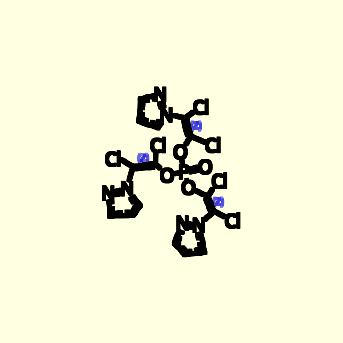 O=P(O/C(Cl)=C(/Cl)n1cccn1)(O/C(Cl)=C(/Cl)n1cccn1)O/C(Cl)=C(/Cl)n1cccn1